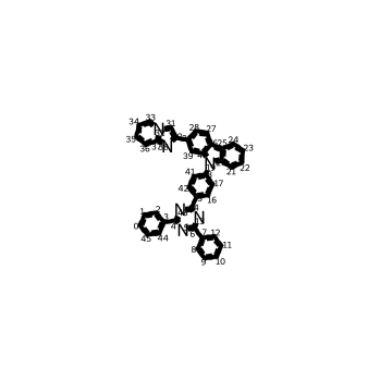 c1ccc(-c2nc(-c3ccccc3)nc(-c3ccc(-n4c5ccccc5c5ccc(-c6cn7ccccc7n6)cc54)cc3)n2)cc1